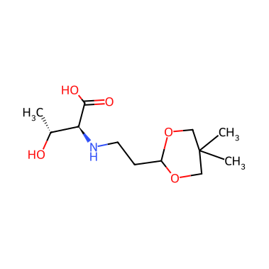 C[C@@H](O)[C@H](NCCC1OCC(C)(C)CO1)C(=O)O